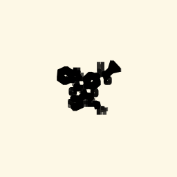 CC(C)CNC(=O)C(c1ccsc1)N(C(=O)n1nnc2ccccc21)c1ccc(NC(=O)C2CC2)cc1